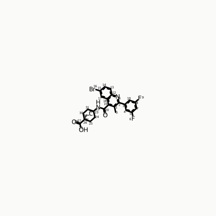 Cc1c(-c2cc(F)cc(F)c2)nc2ccc(Br)cc2c1C(=O)NC12CCC(C(=O)O)(CC1)CC2